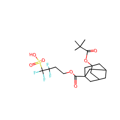 CC(C)(C)C(=O)OC12CC3CC(C1)CC(C(=O)OCCC(F)(F)C(F)(F)S(=O)(=O)O)(C3)C2